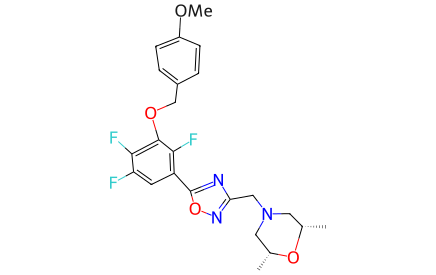 COc1ccc(COc2c(F)c(F)cc(-c3nc(CN4C[C@@H](C)O[C@@H](C)C4)no3)c2F)cc1